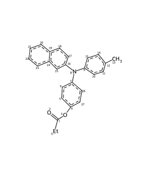 CCC(=O)Oc1ccc(N(c2ccc(C)cc2)c2ccc3ccccc3c2)cc1